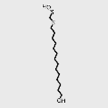 OCCCCCCCCCCCCCCSCSO